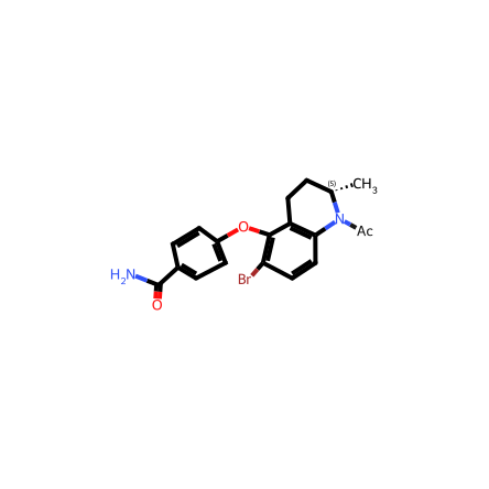 CC(=O)N1c2ccc(Br)c(Oc3ccc(C(N)=O)cc3)c2CC[C@@H]1C